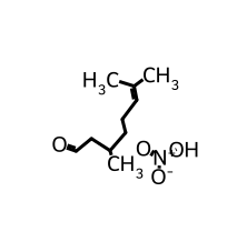 CC(C)=CCCC(C)CC=O.O=[N+]([O-])O